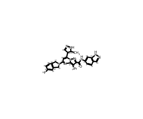 CC(C)c1c(C(=O)Nc2ccc3cn[nH]c3c2)nn2c(C3C=NNC3C)cc(N3Cc4ccc(F)cc4C3)nc12